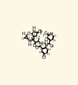 C[C@@H]1C[C@@H](CC(NC(=O)c2cc(Cl)ccc2NC(=O)c2ccnc(C(F)(F)F)c2)C(=O)C(=O)NC2CC2)C(=O)N1